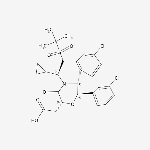 CC(C)(C)S(=O)(=O)C[C@H](C1CC1)N1C(=O)[C@@H](CC(=O)O)O[C@H](c2cccc(Cl)c2)[C@H]1c1ccc(Cl)cc1